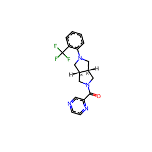 O=C(c1cnccn1)N1C[C@@H]2CN(c3ccccc3C(F)(F)F)C[C@@H]2C1